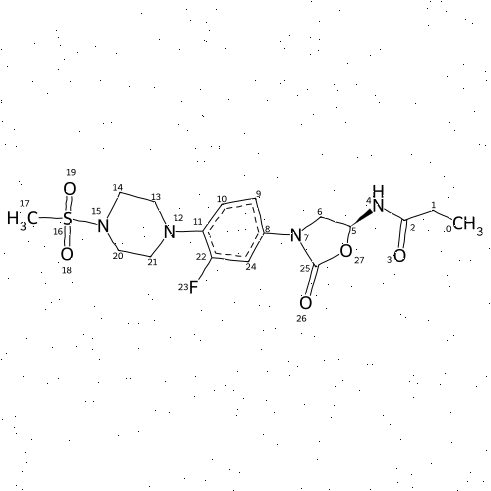 CCC(=O)N[C@@H]1CN(c2ccc(N3CCN(S(C)(=O)=O)CC3)c(F)c2)C(=O)O1